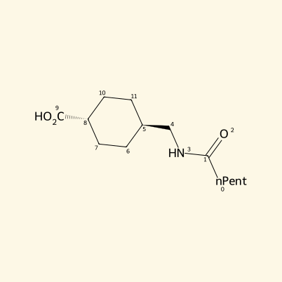 CCCCCC(=O)NC[C@H]1CC[C@H](C(=O)O)CC1